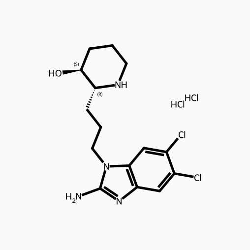 Cl.Cl.Nc1nc2cc(Cl)c(Cl)cc2n1CCC[C@H]1NCCC[C@@H]1O